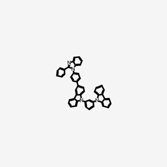 c1ccc(-c2nc3ccccc3n2-c2ccc(-c3ccc4c(c3)c3ccccc3n4-c3cccc(-n4c5ccccc5c5ccccc54)c3)cc2)cc1